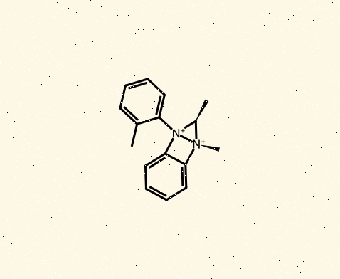 Cc1ccccc1[N+]12c3ccccc3[N@@+]1(C)[C@@H]2C